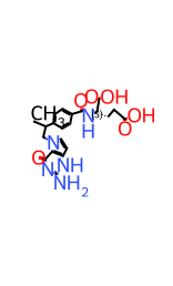 CCC(Cn1ccc2[nH]c(N)nc(=O)c21)c1ccc(C(=O)N[C@@H](CCC(=O)O)C(=O)O)cc1